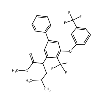 COC(=O)C(CC(C)C)c1cc(-c2ccccc2)cc(Oc2cccc(C(F)(F)F)c2)c1C(F)(F)F